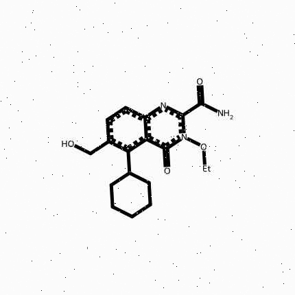 CCOn1c(C(N)=O)nc2ccc(CO)c(C3CCCCC3)c2c1=O